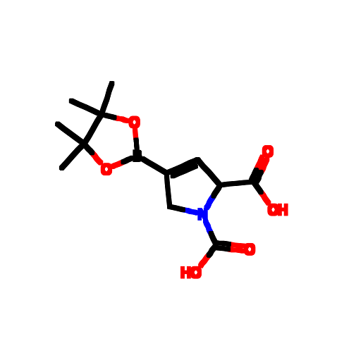 CC1(C)OB(C2=CC(C(=O)O)N(C(=O)O)C2)OC1(C)C